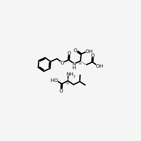 CC(C)C[C@H](N)C(=O)O.O=C(O)C[C@H](NC(=O)OCc1ccccc1)C(=O)O